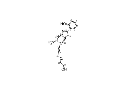 Nc1nc2nc(-c3ccccc3O)cn2cc1C#CCOCCO